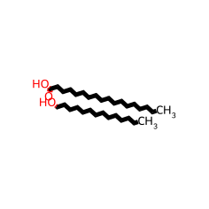 CCCCCCCCCCCCCCCCCC(=O)O.CCCCCCCCCCCCCCO